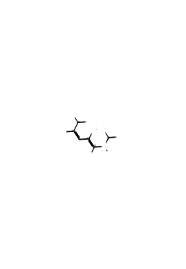 CC(C)/C(S)=C\C(S)=C(/S)N(C)C(C)C